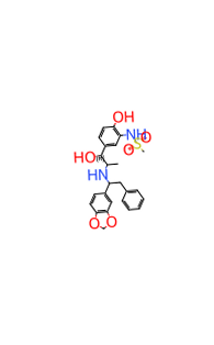 CC(NC(Cc1ccccc1)c1ccc2c(c1)OCO2)[C@H](O)c1ccc(O)c(NS(C)(=O)=O)c1